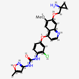 COc1cc2c(Oc3ccc(NC(=O)Nc4cc(C)on4)c(Cl)c3)ccnc2cc1OCC1(N)CC1